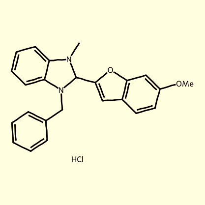 COc1ccc2cc(C3N(C)c4ccccc4N3Cc3ccccc3)oc2c1.Cl